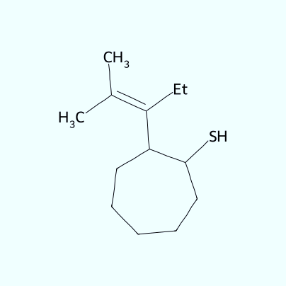 CCC(=C(C)C)C1CCCCCC1S